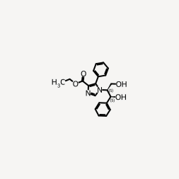 CCOC(=O)c1ncn([C@@H](CO)[C@@H](O)c2ccccc2)c1-c1ccccc1